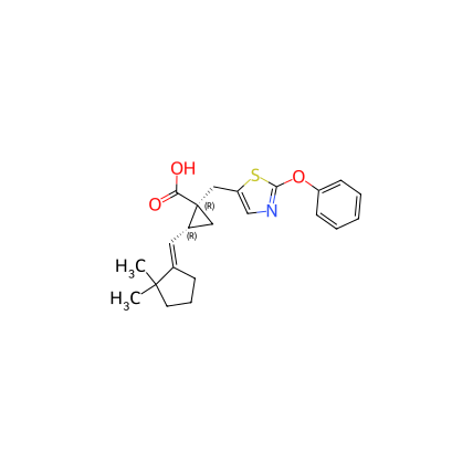 CC1(C)CCCC1=C[C@H]1C[C@]1(Cc1cnc(Oc2ccccc2)s1)C(=O)O